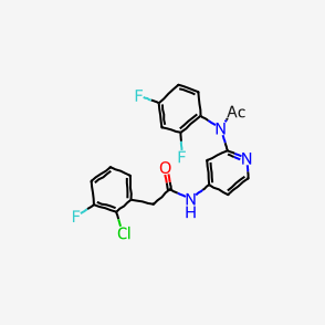 CC(=O)N(c1cc(NC(=O)Cc2cccc(F)c2Cl)ccn1)c1ccc(F)cc1F